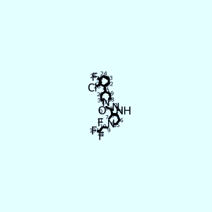 O=C(c1n[nH]c2c1CN(CC(F)C(F)F)CC2)N1CCC(c2cccc(F)c2Cl)CC1